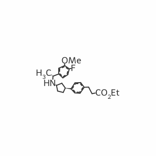 CCOC(=O)CCc1ccc([C@H]2CC[C@H](N[C@H](C)c3ccc(F)c(OC)c3)C2)cc1